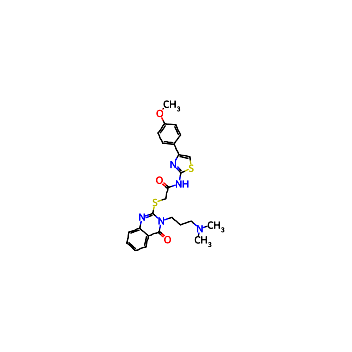 COc1ccc(-c2csc(NC(=O)CSc3nc4ccccc4c(=O)n3CCCN(C)C)n2)cc1